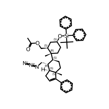 CC(=O)OC[C@H]1C[C@@H](O[Si](c2ccccc2)(c2ccccc2)C(C)(C)C)CC[C@]1(C)[C@H]1CC[C@]2(C)C(c3ccccc3)=CC[C@H]2[C@@H]1CN=[N+]=[N-]